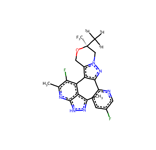 [2H]C([2H])([2H])[C@@]1(C(F)(F)F)Cn2nc(-c3ccc(F)cn3)c(-c3c(F)c(C)nc4[nH]nc(C)c34)c2CO1